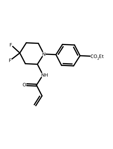 C=CC(=O)NC1CC(F)(F)CCN1c1ccc(C(=O)OCC)cc1